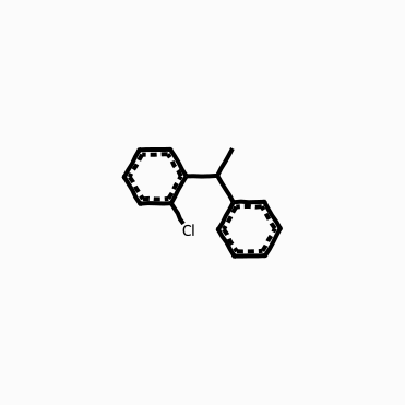 CC(c1ccccc1)c1ccccc1Cl